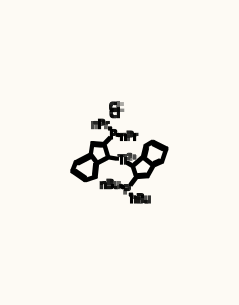 CCCCP(CCCC)C1=Cc2ccccc2[CH]1[Ti+2][CH]1C(P(CCC)CCC)=Cc2ccccc21.[Cl-].[Cl-]